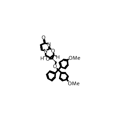 COc1ccc(C(OC[C@H]2O[C@@H]3C[C@@H]2Oc2nc(=O)ccn23)(c2ccccc2)c2ccc(OC)cc2)cc1